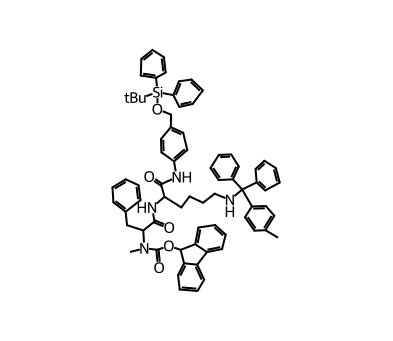 Cc1ccc(C(NCCCCC(NC(=O)C(Cc2ccccc2)N(C)C(=O)OC2c3ccccc3-c3ccccc32)C(=O)Nc2ccc(CO[Si](c3ccccc3)(c3ccccc3)C(C)(C)C)cc2)(c2ccccc2)c2ccccc2)cc1